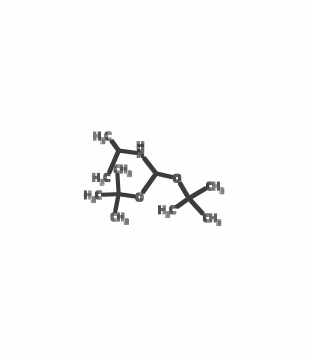 CC(C)NC(OC(C)(C)C)OC(C)(C)C